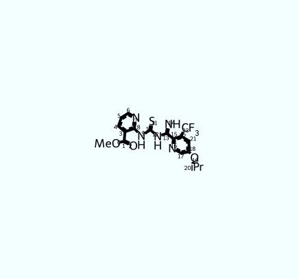 COC(=O)c1cccnc1NC(=S)NC(=N)c1ncc(OC(C)C)cc1C(F)(F)F